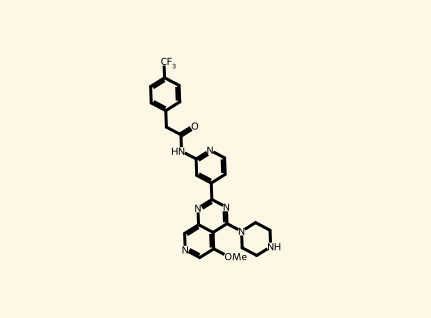 COc1cncc2nc(-c3ccnc(NC(=O)Cc4ccc(C(F)(F)F)cc4)c3)nc(N3CCNCC3)c12